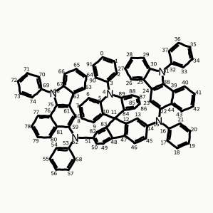 c1ccc(N2c3ccccc3C3(c4cc(N(c5ccccc5)c5cc6c7ccccc7n(-c7ccccc7)c6c6ccccc56)ccc4-c4ccc(N(c5ccccc5)c5cc6c7ccccc7n(-c7ccccc7)c6c6ccccc56)cc43)c3ccccc32)cc1